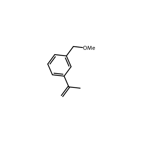 C=C(C)c1cccc(COC)c1